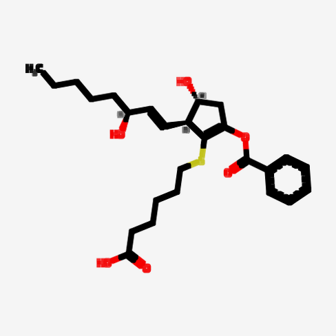 CCCCC[C@H](O)C=C[C@@H]1C(SCCCCCC(=O)O)=C(OC(=O)c2ccccc2)C[C@H]1O